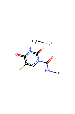 CC(=O)O.CC(C)NC(=O)n1cc(F)c(=O)[nH]c1=O